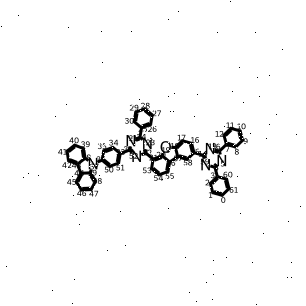 c1ccc(-c2nc(-c3ccccc3)nc(-c3ccc4oc5c(-c6nc(-c7ccccc7)nc(-c7ccc(-n8c9ccccc9c9ccccc98)cc7)n6)cccc5c4c3)n2)cc1